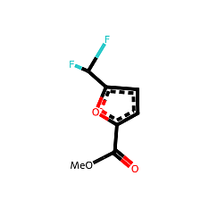 COC(=O)c1ccc(C(F)F)o1